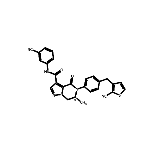 C[C@H]1Cn2ncc(C(=O)Nc3cccc(C#N)c3)c2C(=O)N1c1ccc(Cc2ccsc2C#N)cc1